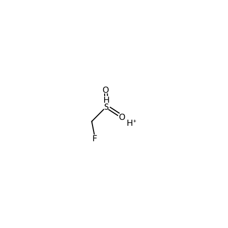 O=[SH](=O)CF.[H+]